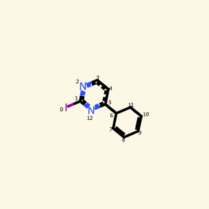 Ic1nccc(C2C=CC=CC2)n1